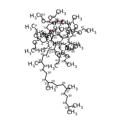 CCO[Si](CS(S)(SS)C(CC(C)CCCC(C)CCCCC(C)CCCC(C)CCCC(C)C)=C(C(C)=C(S(S)(C[Si](OCC)(OCC)OCC)SS)S(S)(C[Si](OCC)(OCC)OCC)SS)S(S)(C[Si](OCC)(OCC)OCC)SS)(OCC)OCC